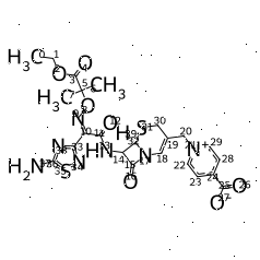 CCOC(=O)C(C)(C)O/N=C(\C(=O)NC1C(=O)N2C=C(C[n+]3ccc(C(=O)[O-])cc3)CS[C@H]12)c1nsc(N)n1